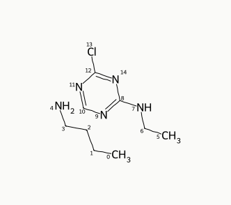 CCCCN.CCNc1ncnc(Cl)n1